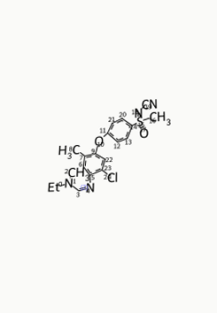 CCN(C)/C=N\c1cc(C)c(Oc2ccc(S(C)(=O)=NC#N)cc2)cc1Cl